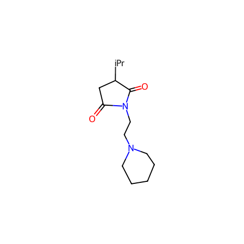 CC(C)C1CC(=O)N(CCN2CCCCC2)C1=O